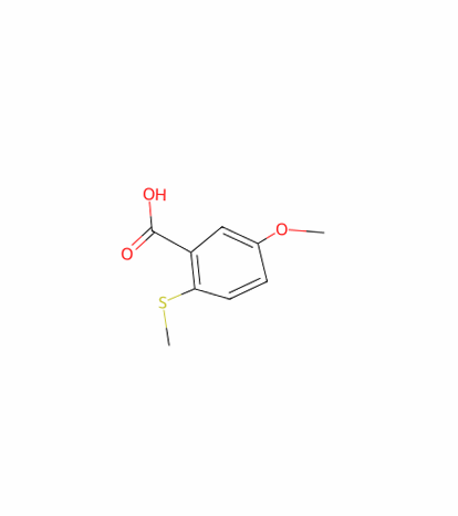 COc1ccc(SC)c(C(=O)O)c1